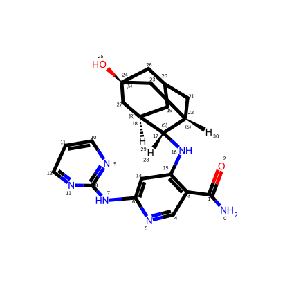 NC(=O)c1cnc(Nc2ncccn2)cc1N[C@@H]1[C@@H]2CC3C[C@H]1C[C@@](O)(C3)C2